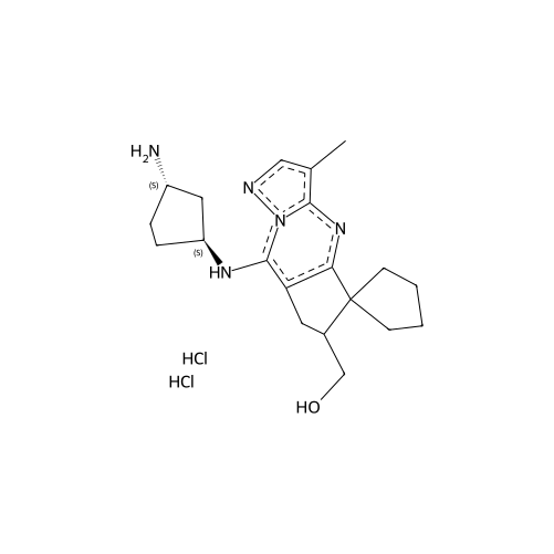 Cc1cnn2c(N[C@H]3CC[C@H](N)C3)c3c(nc12)C1(CCCC1)C(CO)C3.Cl.Cl